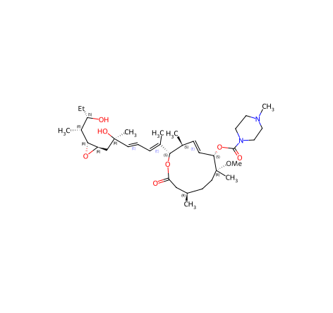 CC[C@H](O)[C@@H](C)[C@H]1O[C@@H]1C[C@@](C)(O)/C=C/C=C(\C)[C@H]1OC(=O)C[C@H](C)CC[C@@](C)(OC)[C@@H](OC(=O)N2CCN(C)CC2)/C=C/[C@@H]1C